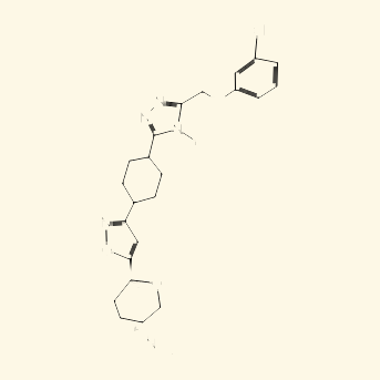 Cn1c(COc2cccc(Cl)c2)nnc1C1CCC(c2cc([C@@H]3CC[C@@H](N)CO3)on2)CC1